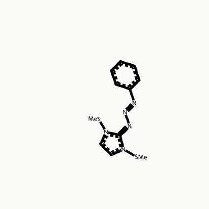 CSn1ccn(SC)c1=N/N=N/c1ccccc1